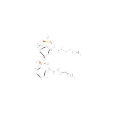 CCCCCCc1ccccc1S(=O)(=O)[O-].CCCCCCc1ccccc1S(=O)(=O)[O-].[Fe+2]